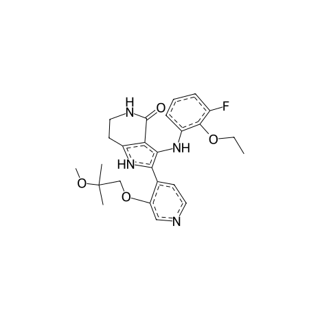 CCOc1c(F)cccc1Nc1c(-c2ccncc2OCC(C)(C)OC)[nH]c2c1C(=O)NCC2